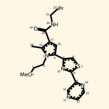 COCCn1c(-c2csc(-c3cnccn3)n2)cc(C(=O)NCC(C)C)c1C